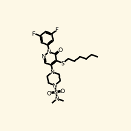 CCCCCCSc1c(N2CCN(S(=O)(=O)N(C)C)CC2)cnn(-c2cc(F)cc(F)c2)c1=O